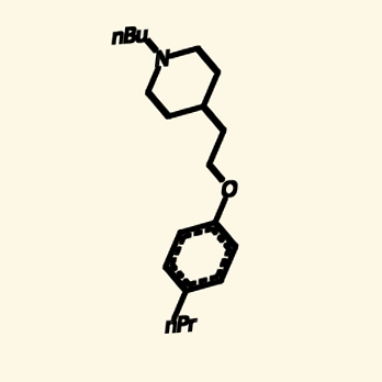 CCCCN1CCC(CCOc2ccc(CCC)cc2)CC1